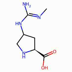 CN=C(N)NC1CN[C@H](C(=O)O)C1